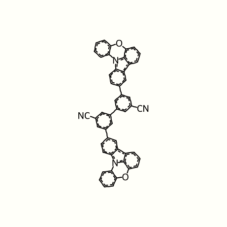 N#Cc1cc(-c2cc(C#N)cc(-c3ccc4c(c3)c3cccc5c3n4-c3ccccc3O5)c2)cc(-c2ccc3c(c2)c2cccc4c2n3-c2ccccc2O4)c1